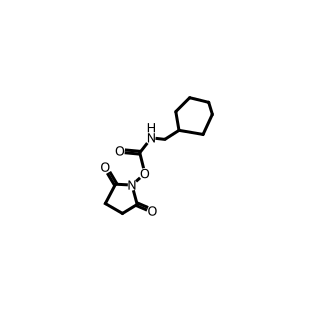 O=C(NCC1CCCCC1)ON1C(=O)CCC1=O